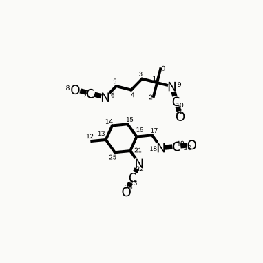 CC(C)(CCCN=C=O)N=C=O.CC1CCC(CN=C=O)C(N=C=O)C1